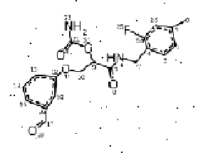 Cc1ccc(CNC(=O)C(COc2cccc(C=O)c2)OC(N)=O)c(F)c1